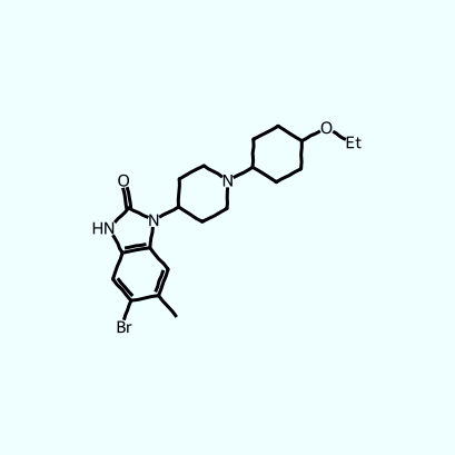 CCOC1CCC(N2CCC(n3c(=O)[nH]c4cc(Br)c(C)cc43)CC2)CC1